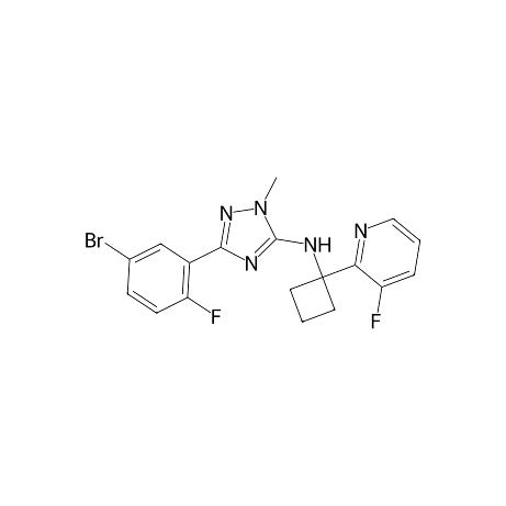 Cn1nc(-c2cc(Br)ccc2F)nc1NC1(c2ncccc2F)CCC1